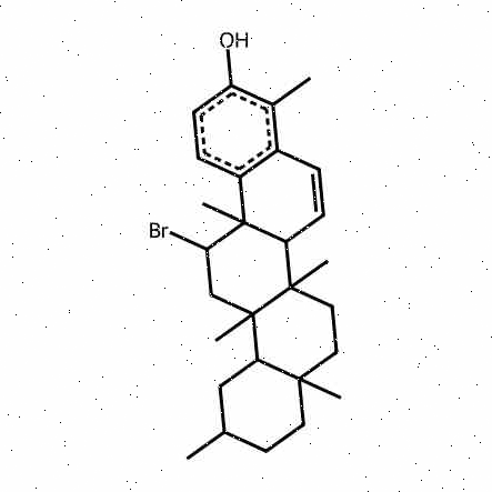 Cc1c(O)ccc2c1C=CC1C2(C)C(Br)CC2(C)C3CC(C)CCC3(C)CCC12C